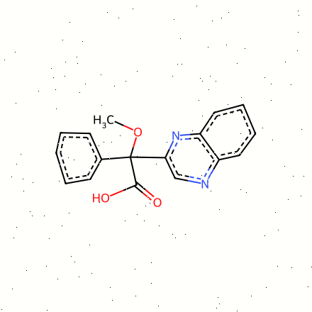 COC(C(=O)O)(c1ccccc1)c1cnc2ccccc2n1